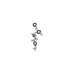 Cc1cc(C(=O)Nc2ccc(CN(C)C)cc2)nn1Cc1cc(Cl)ccc1OCc1ccccc1